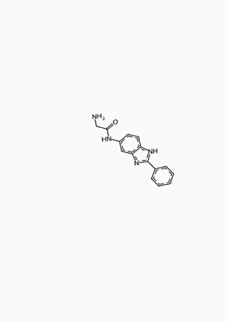 NCC(=O)Nc1ccc2[nH]c(-c3cc[c]cc3)nc2c1